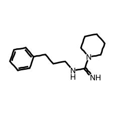 N=C(NCCCc1ccccc1)N1CCCCC1